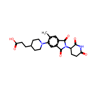 Cc1cc2c(cc1N1CCC(CCC(=O)O)CC1)C(=O)N(C1CCC(=O)NC1=O)C2=O